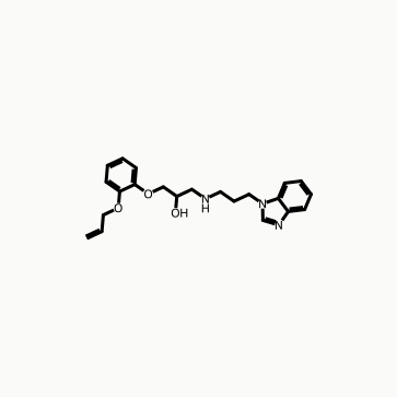 C=CCOc1ccccc1OCC(O)CNCCCn1cnc2ccccc21